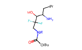 CC(C)COC(=O)NCC(F)(F)C(O)C(N)CC(C)C